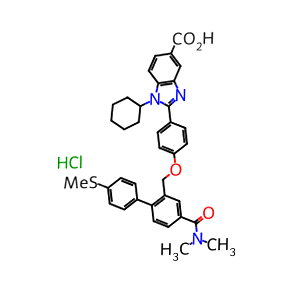 CSc1ccc(-c2ccc(C(=O)N(C)C)cc2COc2ccc(-c3nc4cc(C(=O)O)ccc4n3C3CCCCC3)cc2)cc1.Cl